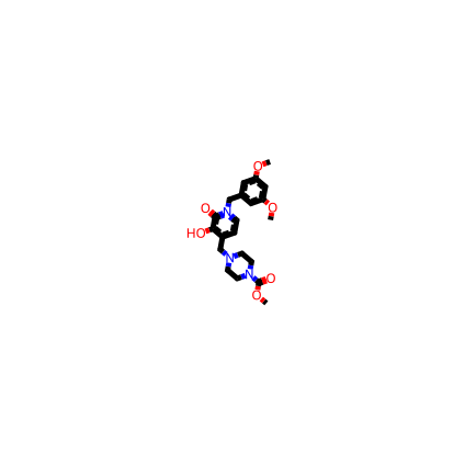 COC(=O)N1CCN(Cc2ccn(Cc3cc(OC)cc(OC)c3)c(=O)c2O)CC1